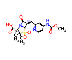 COC(=O)Nc1ccnc(/C=C2/C(=O)N3C2S(=O)(=O)C(C)(C)[C@@H]3C(=O)O)c1